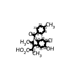 Cc1ccc(C(=O)n2c(C)c(C(C)C(=O)O)c3cc(O)c(Cl)cc32)cc1